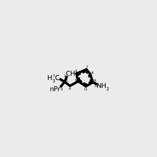 CCCC(C)(C)Cc1cccc(N)c1